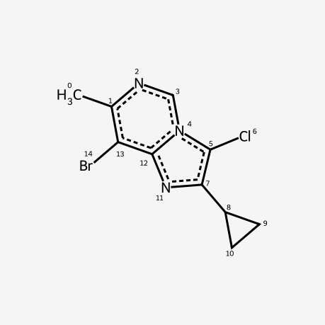 Cc1ncn2c(Cl)c(C3CC3)nc2c1Br